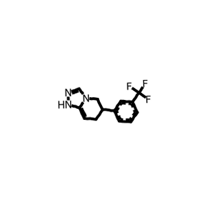 FC(F)(F)c1cccc(C2CC=C3NN=CN3C2)c1